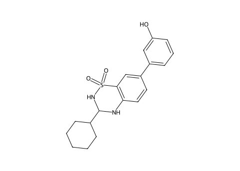 O=S1(=O)NC(C2CCCCC2)Nc2ccc(-c3cccc(O)c3)cc21